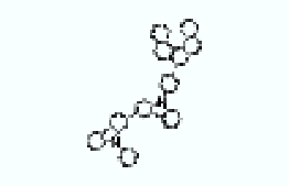 c1ccc(-n2c3ccccc3c3ccc(-c4ccc5c(c4)c4ccccc4n5-c4ccc(-c5cc6ccc7ccccc7c6c6c5ccc5ccccc56)cc4)cc32)cc1